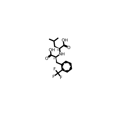 CC(C)C[C@H](N[C@@H](Cc1ccccc1C(F)(F)F)C(=O)O)C(=O)O